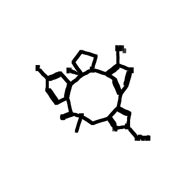 CCCCCn1cc2c(n1)CN(C)C(=O)c1ccc(F)cc1[C@H]1CCCN1c1cc-2cnc1N